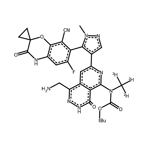 [2H]C([2H])([2H])N(C(=O)OC(C)(C)C)c1nc(-c2cnn(C)c2-c2c(F)cc3c(c2C#N)OC2(CC2)C(=O)N3)cc2c(CN)n[nH]c(=O)c12